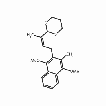 COc1c(C)c(CC=C(C)C2SCCCS2)c(OC)c2ccccc12